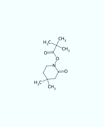 CC1(C)CCN(OC(=O)C(C)(C)C)C(=O)C1